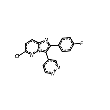 Fc1ccc(-c2nc3ccc(Cl)nn3c2-c2ccnnc2)cc1